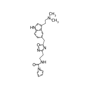 CN(C)CCc1c[nH]c2ccc(Cc3nc(CCNC(=O)n4cccc4)no3)cc12